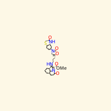 COC(=O)[C@H]1[C@H](NCCC[C@@H]2CN(c3ccc4c(c3)NC(=O)CS4)C(=O)O2)c2cccc3ccc(=O)n1c23